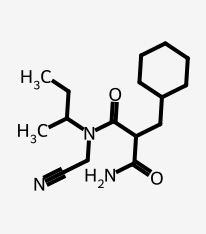 CCC(C)N(CC#N)C(=O)C(CC1CCCCC1)C(N)=O